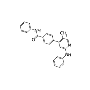 Cc1cnc(Nc2ccccc2)cc1-c1ccc(C(=O)Nc2ccccc2)cc1